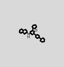 c1ccc(-c2ccc(-c3cc(Nc4ccc5ccccc5c4)cc4c3oc3ccccc34)cc2)cc1